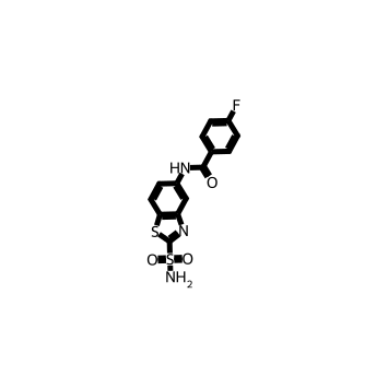 NS(=O)(=O)c1nc2cc(NC(=O)c3ccc(F)cc3)ccc2s1